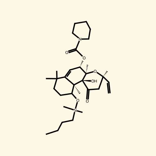 C=C[C@@]1(C)CC(=O)[C@]2(O)[C@]3(C)C(=C[C@H](OC(=O)N4CCCCC4)[C@@]2(C)O1)C(C)(C)CCC3O[Si](C)(C)CCCC